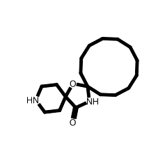 O=C1NC2(CCCCCCCCCCC2)OC12CCNCC2